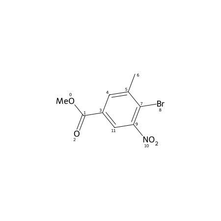 COC(=O)c1cc(C)c(Br)c([N+](=O)[O-])c1